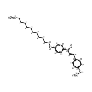 CCCCCCCCCCCCCCCCCCCCCOc1ccc(C(=O)C=Cc2ccc(SCCCC)cc2)cc1